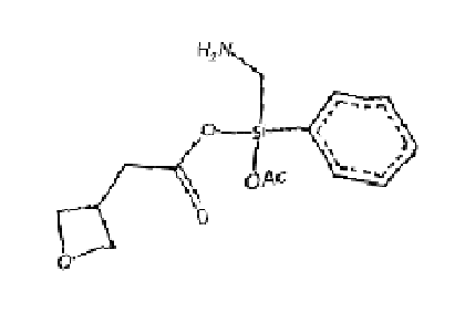 CC(=O)O[Si](CN)(OC(=O)CC1COC1)c1ccccc1